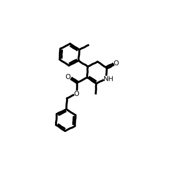 CC1=C(C(=O)OCc2ccccc2)C(c2ccccc2C)CC(=O)N1